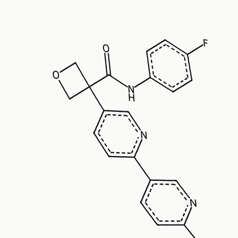 O=C(Nc1ccc(F)cc1)C1(c2ccc(-c3ccc(C(F)(F)F)nc3)nc2)COC1